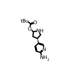 CC(C)(C)C(=O)OC1C[C@H](c2ccc(N)nc2)CN1